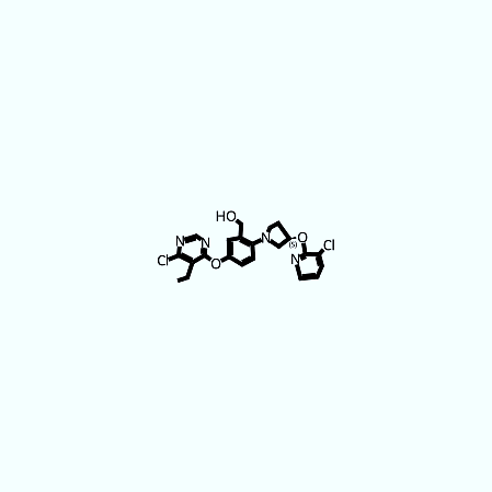 CCc1c(Cl)ncnc1Oc1ccc(N2CC[C@H](Oc3ncccc3Cl)C2)c(CO)c1